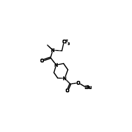 CN(CC(F)(F)F)C(=O)N1CCN(C(=O)OC(C)(C)C)CC1